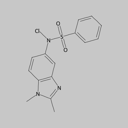 Cc1nc2cc(N(Cl)S(=O)(=O)c3ccccc3)ccc2n1C